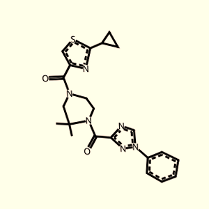 CC1(C)CN(C(=O)c2csc(C3CC3)n2)CCN1C(=O)c1ncn(-c2ccccc2)n1